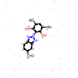 CC(C)(C)c1cc(C(C)(C)C)c(O)c(-n2nc3ccc(C=O)cc3n2)c1O